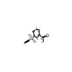 C#CS(=O)(=O)c1cccc(C(C)=O)c1